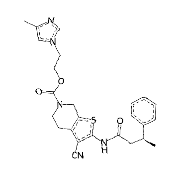 Cc1cn(CCOC(=O)N2CCc3c(sc(NC(=O)C[C@H](C)c4ccccc4)c3C#N)C2)cn1